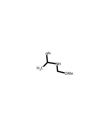 CCCC(C)NCOC